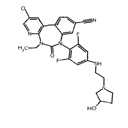 CCN1C(=O)N(c2c(F)cc(NCCN3CCC(O)C3)cc2F)c2cc(C#N)ccc2-c2cc(Cl)cnc21